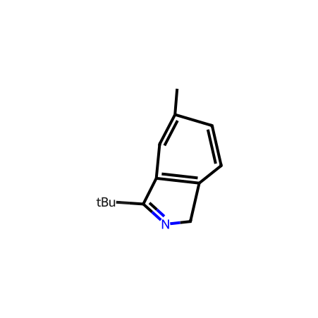 Cc1ccc2c(c1)C(C(C)(C)C)=NC2